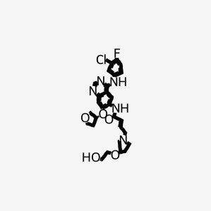 O=C(/C=C/CN1CC[C@@H](OCCO)C1)Nc1cc2c(Nc3ccc(F)c(Cl)c3)ncnc2cc1O[C@H]1CCOC1